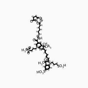 CC1(C)C(/C=C/C=C/C=C2/N(CCCS(=O)(=O)O)c3ccc(S(=O)(=O)O)cc3C2(C)C)=Nc2c1cc(C(=O)NOCCCCCC(=O)ON1C(=O)CCC1=O)c[n+]2CCCS(C)(=O)=O